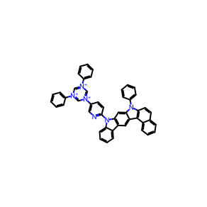 c1ccc(-n2c3cc4c(cc3c3c5ccccc5ccc32)c2ccccc2n4-c2ccc(-[n+]3c[n+](-c4ccccc4)c[n+](-c4ccccc4)c3)cn2)cc1